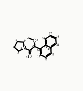 COC(C(=O)N1CCCC1)c1cccc2ccccc12